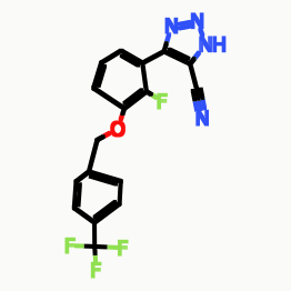 N#Cc1[nH]nnc1-c1cccc(OCc2ccc(C(F)(F)F)cc2)c1F